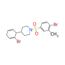 Cc1cc(S(=O)(=O)N2CCC(C3C=CCC=C3Br)CC2)ccc1Br